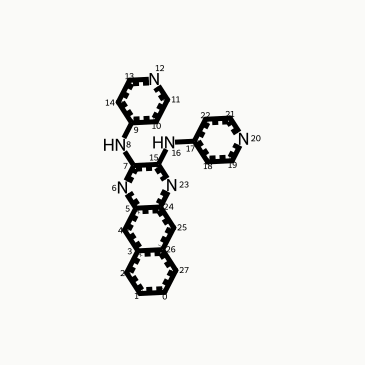 c1ccc2cc3nc(Nc4ccncc4)c(Nc4ccncc4)nc3cc2c1